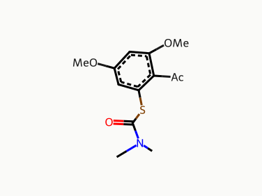 COc1cc(OC)c(C(C)=O)c(SC(=O)N(C)C)c1